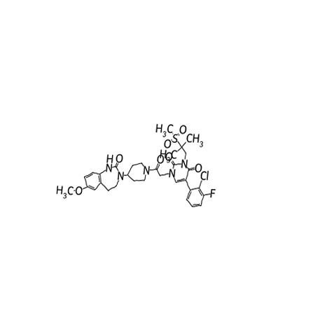 COc1ccc2c(c1)CCN(C1CCN(C(=O)Cn3cc(-c4cccc(F)c4Cl)c(=O)n(CC(C)(C)S(C)(=O)=O)c3=O)CC1)C(=O)N2